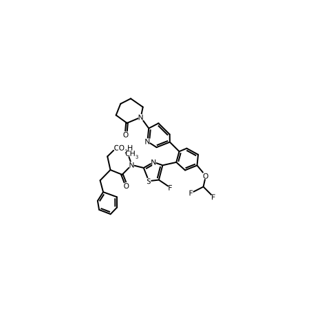 CN(C(=O)C(CC(=O)O)Cc1ccccc1)c1nc(-c2cc(OC(F)F)ccc2-c2ccc(N3CCCCC3=O)nc2)c(F)s1